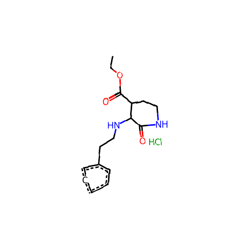 CCOC(=O)C1CCNC(=O)C1NCCc1ccccc1.Cl